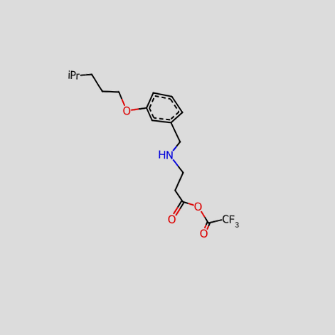 CC(C)CCCOc1cccc(CNCCC(=O)OC(=O)C(F)(F)F)c1